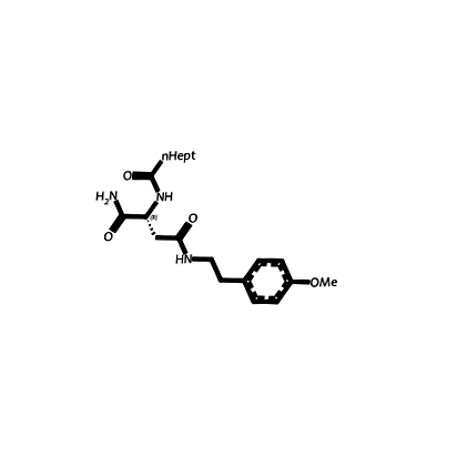 CCCCCCCC(=O)N[C@H](CC(=O)NCCc1ccc(OC)cc1)C(N)=O